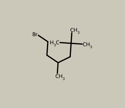 CC(CCBr)CC(C)(C)C